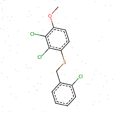 COc1ccc(SCc2ccccc2Cl)c(Cl)c1Cl